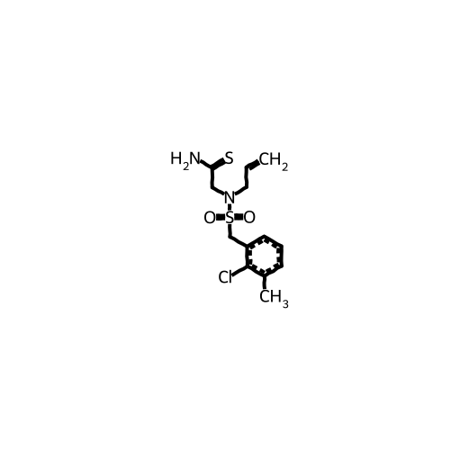 C=CCN(CC(N)=S)S(=O)(=O)Cc1cccc(C)c1Cl